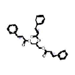 O=C(/C=C/c1ccccc1)OCC(COC(=O)/C=C/c1ccccc1)OC(=O)/C=C/C1C=CC=CC1